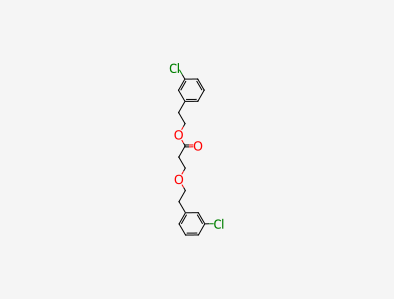 O=C(CCOCCc1cccc(Cl)c1)OCCc1cccc(Cl)c1